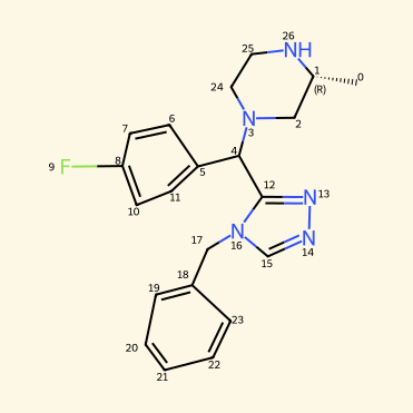 C[C@@H]1CN(C(c2ccc(F)cc2)c2nncn2Cc2ccccc2)CCN1